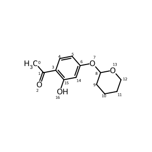 CC(=O)c1ccc(OC2CCCCO2)cc1O